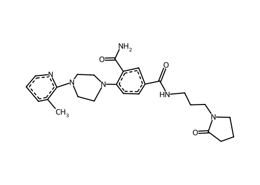 Cc1cccnc1N1CCN(c2ccc(C(=O)NCCCN3CCCC3=O)cc2C(N)=O)CC1